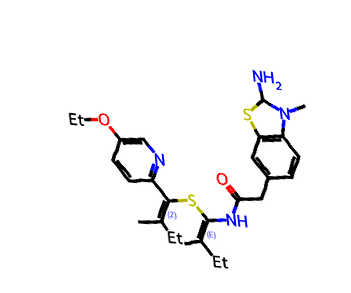 CCOc1ccc(/C(S/C(NC(=O)Cc2ccc3c(c2)SC(N)N3C)=C(\C)CC)=C(\C)CC)nc1